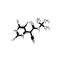 CC(C)(C)OC(=O)C(C#N)c1nc(F)nc(F)c1F